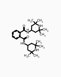 CC1(C)CC(NC(=O)c2ccccc2C(=O)NC2CC(C)(C)NC(C)(C)C2)CC(C)(C)N1